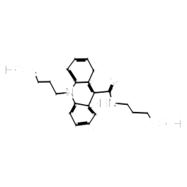 O=C(NCCCS(=O)(=O)O)C1=C2CC=CC=C2N(CCCS(=O)(=O)O)c2ccccc21